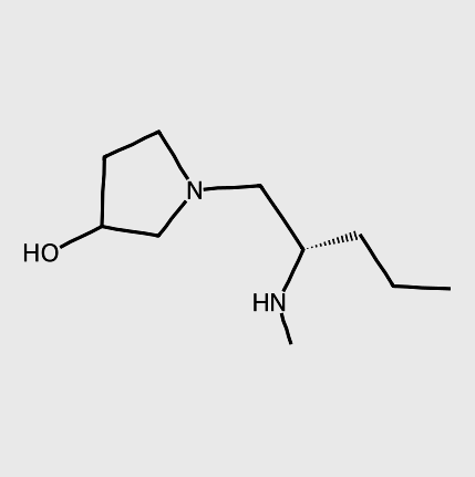 CCC[C@@H](CN1CCC(O)C1)NC